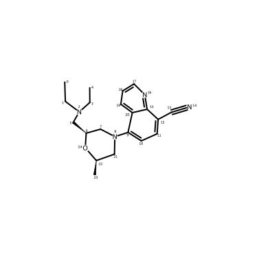 CCN(CC)C[C@H]1CN(c2ccc(C#N)c3ncccc23)C[C@@H](C)O1